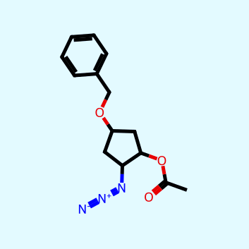 CC(=O)OC1CC(OCc2ccccc2)CC1N=[N+]=[N-]